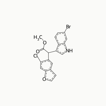 COC(=O)C(c1cc2ccoc2cc1Cl)c1c[nH]c2cc(Br)ccc12